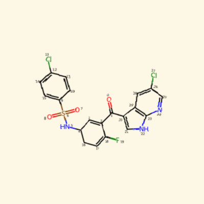 O=C(C1=CC(NS(=O)(=O)c2ccc(Cl)cc2)CC=C1F)c1c[nH]c2ncc(Cl)cc12